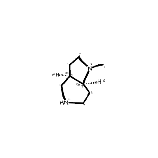 CN1CC[C@@H]2CNCC[C@@H]21